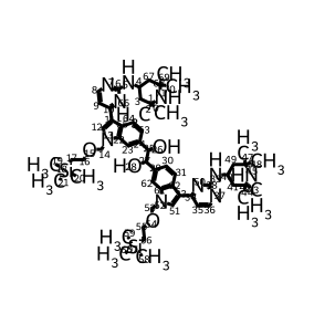 CC1(C)CC(Nc2nccc(-c3cn(COCC[Si](C)(C)C)c4cc(C(O)C(O)c5ccc6c(-c7ccnc(NC8CC(C)(C)NC(C)(C)C8)n7)cn(COCC[Si](C)(C)C)c6c5)ccc34)n2)CC(C)(C)N1